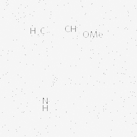 CC.COc1cccc2[nH]ccc12